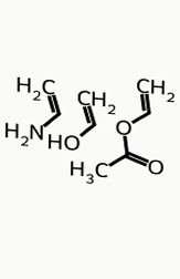 C=CN.C=CO.C=COC(C)=O